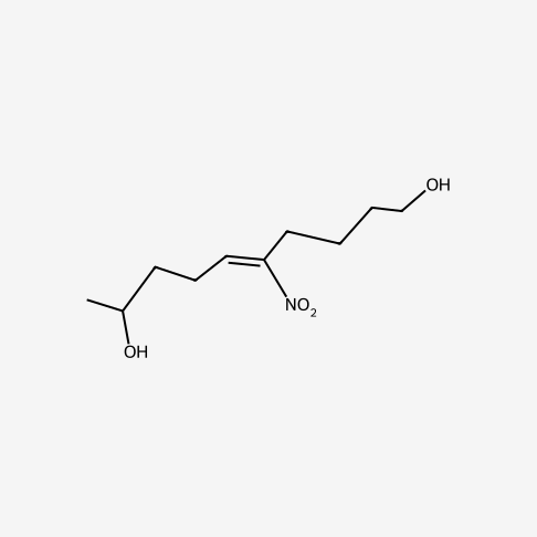 CC(O)CC/C=C(/CCCCO)[N+](=O)[O-]